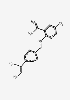 C=C(N)c1cc(C(F)(F)F)cnc1NCc1ccc(/C(C)=C/C)cc1